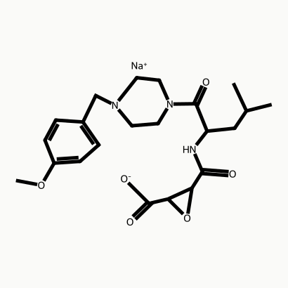 COc1ccc(CN2CCN(C(=O)C(CC(C)C)NC(=O)C3OC3C(=O)[O-])CC2)cc1.[Na+]